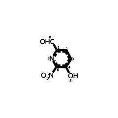 O=Cc1ccc(O)c([N+](=O)[O-])n1